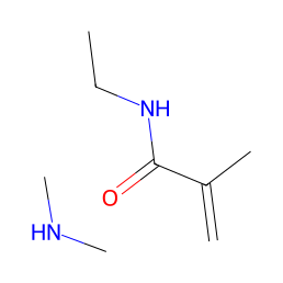 C=C(C)C(=O)NCC.CNC